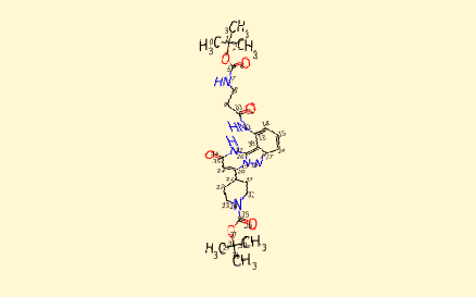 CC(C)(C)OC(=O)NCCC(=O)Nc1cccc2nn3c(C4CCN(C(=O)OC(C)(C)C)CC4)cc(=O)[nH]c3c12